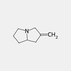 C=C1CC2CCCN2C1